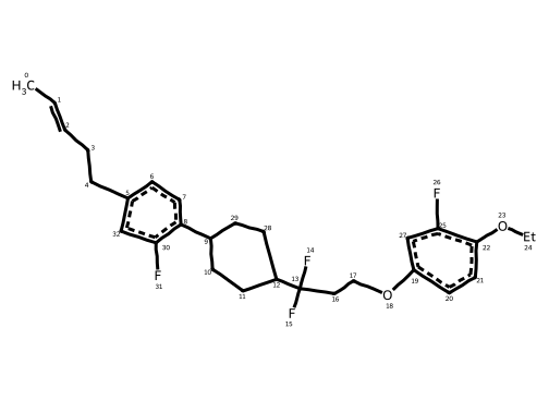 C/C=C/CCc1ccc(C2CCC(C(F)(F)CCOc3ccc(OCC)c(F)c3)CC2)c(F)c1